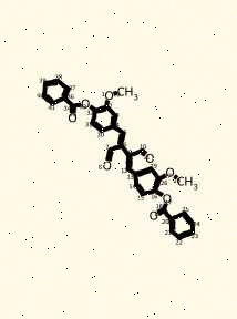 COc1cc(C=C(C=O)C(C=O)=Cc2ccc(OC(=O)c3ccccc3)c(OC)c2)ccc1OC(=O)c1ccccc1